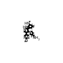 CNc1cc(F)cc2c1[nH]c1ncc(-c3cnc(OC)nc3)c(N3CCC(F)(CN)C3)c12